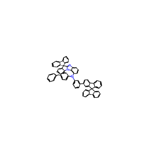 c1ccc(-c2ccc(N(c3cccc(-c4ccc5c(c4)C4(c6ccccc6-c6ccccc64)c4ccccc4-5)c3)c3cccc4nc5n(c34)-c3ccccc3C53c4ccccc4-c4ccccc43)cc2)cc1